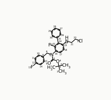 CC(C)(C)OC(=O)N(Cc1ccc(F)cc1)c1ccc(NCCCl)c(-c2ccccc2)c1F